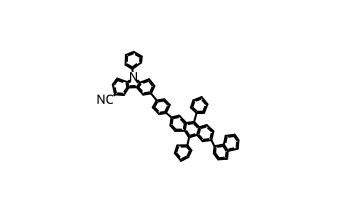 N#Cc1ccc2c(c1)c1cc(-c3ccc(-c4ccc5c(-c6ccccc6)c6cc(-c7cccc8ccccc78)ccc6c(-c6ccccc6)c5c4)cc3)ccc1n2-c1ccccc1